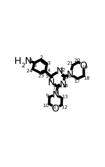 NC1C=CC(c2nc(N3CCOCC3)nc(N3CCOCC3)n2)=CC1